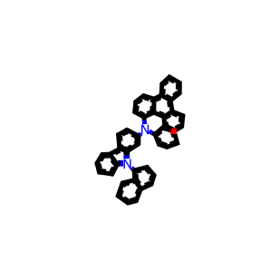 c1ccc(N(c2ccc3c4ccccc4n(-c4cccc5ccccc45)c3c2)c2cccc3c4ccccc4c4ccccc4c23)cc1